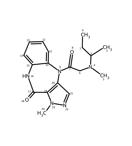 CCC(C)N(C)CC(=O)N1c2ccccc2NC(=O)c2c1cnn2C